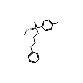 CC#N.Cc1ccc(S(=O)(=O)OCCOc2ccccc2)cc1